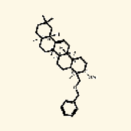 CC(=O)O[C@H]1CC[C@@]2(C)C(CC[C@]3(C)[C@@H]2CC=C2[C@H]4CC(C)(C)CC[C@]4(C)CC[C@]23C)[C@]1(C)COCc1ccccc1